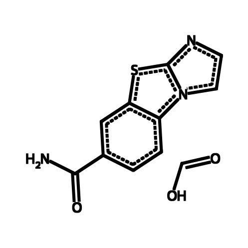 NC(=O)c1ccc2c(c1)sc1nccn12.O=CO